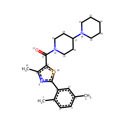 Cc1ccc(C)c(-c2nc(C)c(C(=O)N3CCC(N4CCCCC4)CC3)s2)c1